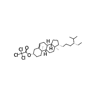 CC[C@H](CCC[C@H]1CC[C@H]2[C@@H]3CC=C4C[C@@H](OC(=O)C(Cl)(Cl)Cl)CC[C@]4(C)[C@H]3CC[C@]12C)C(C)C